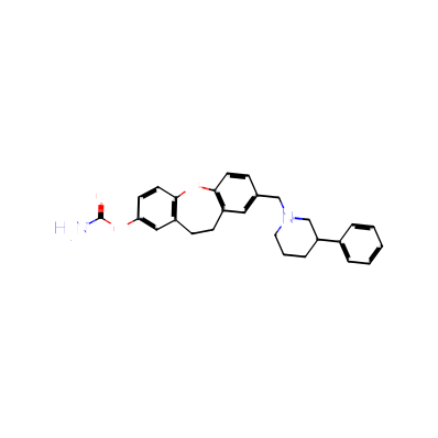 NC(=O)Oc1ccc2c(c1)CCc1cc(CN3CCCC(c4ccccc4)C3)ccc1O2